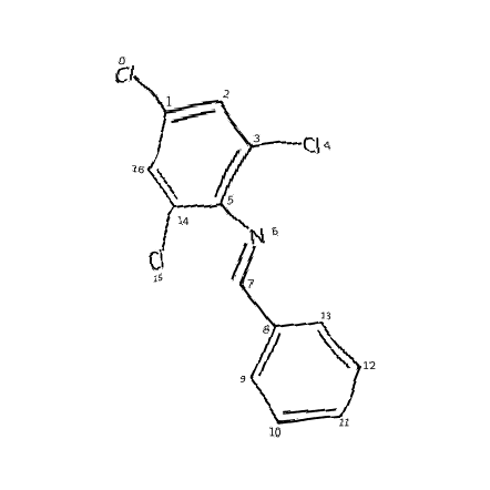 Clc1cc(Cl)c(/N=C/c2ccccc2)c(Cl)c1